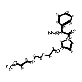 CN[C@H](C(=O)N1CC[C@H](OCCOCCOCCOC(F)(F)F)C1)c1ccccc1